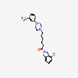 O=C(CCCCCN1CCN(c2cccc(C(F)(F)F)c2)CC1)N1Cc2cccc(Cl)c2C1